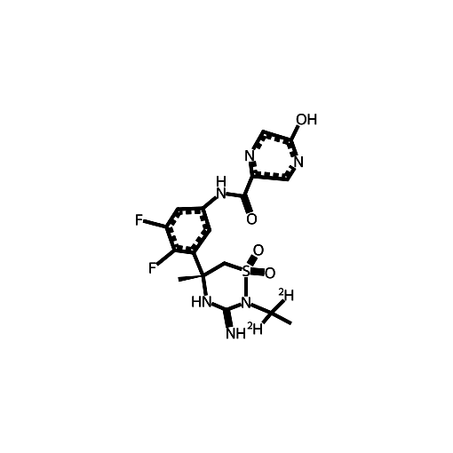 [2H]C([2H])(C)N1C(=N)N[C@](C)(c2cc(NC(=O)c3cnc(O)cn3)cc(F)c2F)CS1(=O)=O